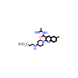 CCOC(=O)CCNC1CCN(c2nc3ccc(C)cc3cc2C(=O)NC(C)=N)CC1